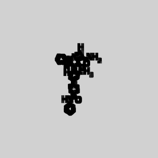 Cc1cc(N2CCN(C(=O)Nc3ccccc3)CC2)ccc1N(C(=O)c1nc[nH]c1C(N)=O)c1nc2ccccc2[nH]1